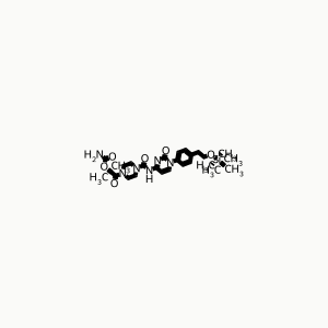 CC(C)(OC(N)=O)C(=O)N1CCN(C(=O)Nc2ccn(-c3ccc(CCO[Si](C)(C)C(C)(C)C)cc3)c(=O)n2)CC1